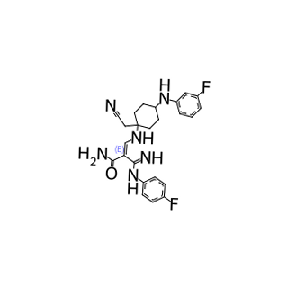 N#CCC1(N/C=C(\C(=N)Nc2ccc(F)cc2)C(N)=O)CCC(Nc2cccc(F)c2)CC1